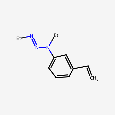 C=Cc1cccc(N(CC)N=NCC)c1